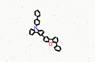 c1ccc(-c2ccc(-n3c4ccccc4c4cc(-c5ccc6oc7c(-c8ccccc8)cccc7c6c5)ccc43)cc2)cc1